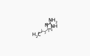 C=CCc1c[nH]c(N)n1